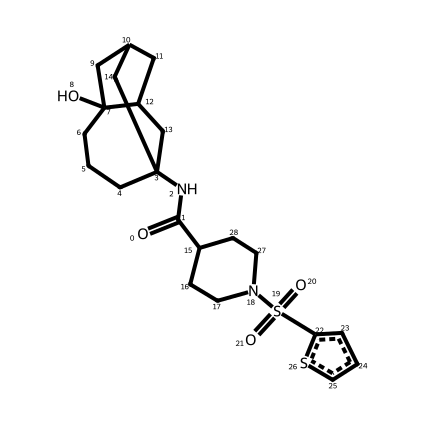 O=C(NC12CCCC3(O)CC(CC3C1)C2)C1CCN(S(=O)(=O)c2cccs2)CC1